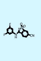 N#Cc1ccc2c(c1)S(=O)(=O)N=C2Nc1cc(F)cc(F)c1